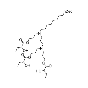 CC=C(O)C(=O)OCCCN(CCCCCCCCCCCCCCCCCC)CCCN(CCCOC(=O)C(O)=CC)CCCOC(=O)C(O)=CC